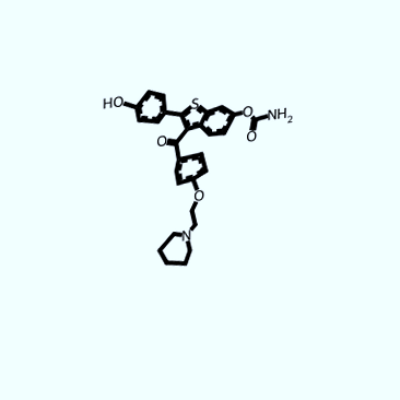 NC(=O)Oc1ccc2c(C(=O)c3ccc(OCCN4CCCCC4)cc3)c(-c3ccc(O)cc3)sc2c1